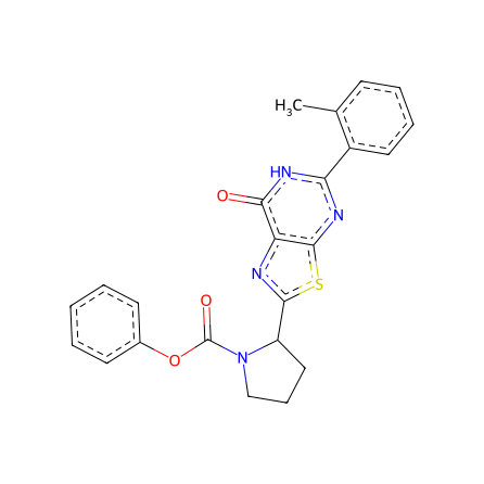 Cc1ccccc1-c1nc2sc(C3CCCN3C(=O)Oc3ccccc3)nc2c(=O)[nH]1